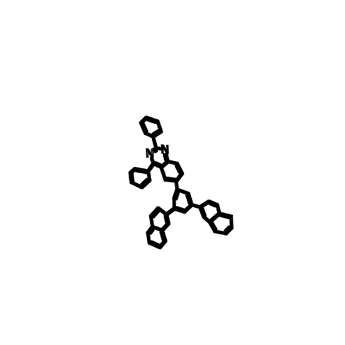 c1ccc(-c2nc(-c3ccccc3)c3cc(-c4cc(-c5ccc6ccccc6c5)cc(-c5ccc6ccccc6c5)c4)ccc3n2)cc1